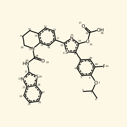 CC(C)Oc1ccc(-c2sc(-c3ccc4c(c3)N(C(=O)Nc3nc5ccccc5s3)CCC4)nc2OC(=O)O)cc1F